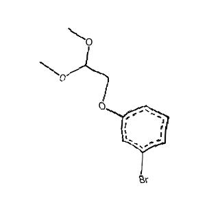 COC(COc1cccc(Br)c1)OC